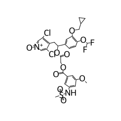 COc1cc(NS(C)(=O)=O)cc(C(=O)OCC(=O)OC(Cc2c(Cl)c[n+]([O-])cc2Cl)c2ccc(OC(F)F)c(OCC3CC3)c2)c1